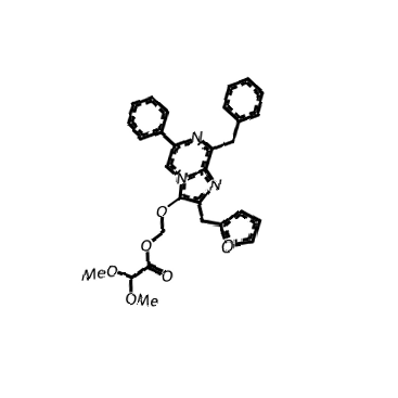 COC(OC)C(=O)OCOc1c(Cc2ccco2)nc2c(Cc3ccccc3)nc(-c3ccccc3)cn12